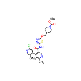 COc1cnc(Cl)cc1-c1cc(C)ncc1C(=O)Nc1nnc(OCC2CCN(C(=O)OC(C)(C)C)CC2)s1